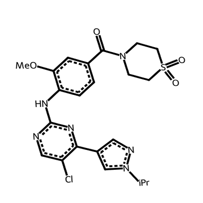 COc1cc(C(=O)N2CCS(=O)(=O)CC2)ccc1Nc1ncc(Cl)c(-c2cnn(C(C)C)c2)n1